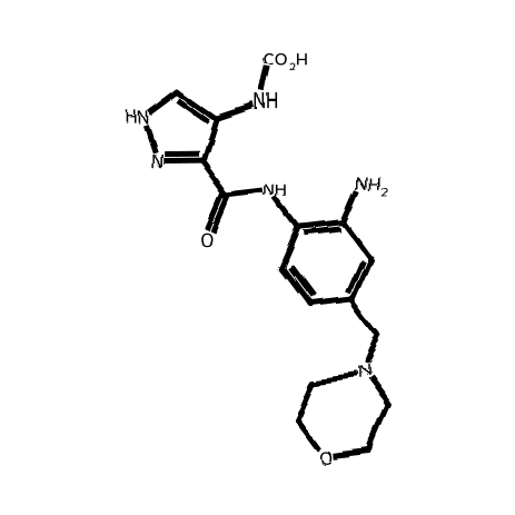 Nc1cc(CN2CCOCC2)ccc1NC(=O)c1n[nH]cc1NC(=O)O